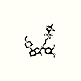 CCN1CCN(c2cccc3c2CN([C@H](CCCNS(=O)(=O)c2cnc(C)n2C)c2ccc(OC)c(OC)c2)C3=O)CC1